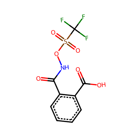 O=C(O)c1ccccc1C(=O)NOS(=O)(=O)C(F)(F)F